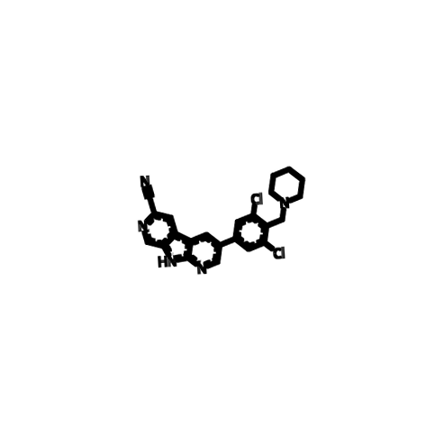 N#Cc1cc2c(cn1)[nH]c1ncc(-c3cc(Cl)c(CN4CCCCC4)c(Cl)c3)cc12